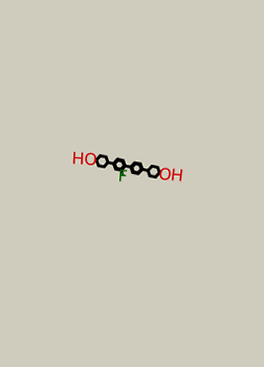 OC1CCC(c2ccc(-c3ccc(C4CCC(O)CC4)cc3F)cc2)CC1